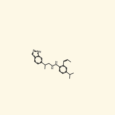 C/C=C\c1cc(C(C)C)ccc1NNCC(C)c1ccc2cn[nH]c2c1